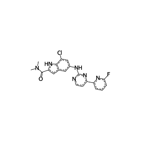 CN(C)C(=O)c1cc2cc(Nc3nccc(-c4cccc(F)n4)n3)cc(Cl)c2[nH]1